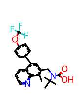 Cc1c(CN(C(=O)O)C(C)(C)C)cc(-c2ccc(OC(F)(F)F)cc2)c2cccnc12